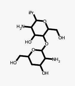 CC(C)C1OC(CO)C(OC2OC(CO)CC(O)C2N)C(O)C1N